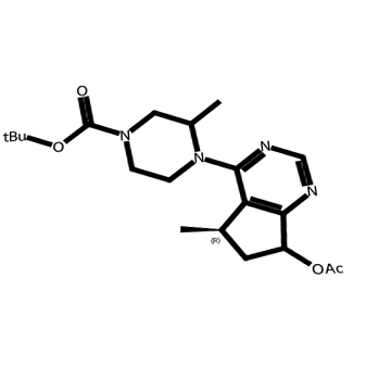 CC(=O)OC1C[C@@H](C)c2c1ncnc2N1CCN(C(=O)OC(C)(C)C)CC1C